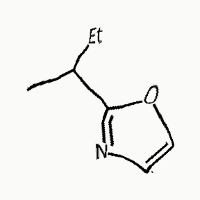 CCC(C)c1n[c]co1